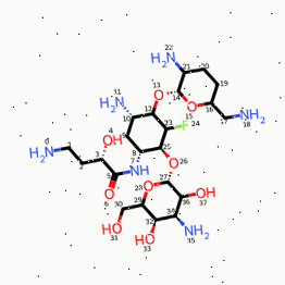 NCC[C@H](O)C(=O)N[C@@H]1C[C@H](N)C(O[C@H]2OC(CN)CCC2N)C(F)[C@H]1O[C@H]1OC(CO)[C@H](O)[C@H](N)C1O